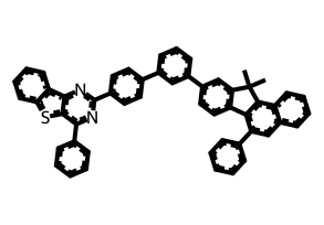 CC1(C)c2cc(-c3cccc(-c4ccc(-c5nc(-c6ccccc6)c6sc7ccccc7c6n5)cc4)c3)ccc2-c2c(-c3ccccc3)cc3ccccc3c21